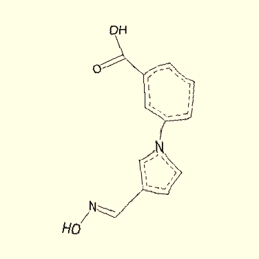 O=C(O)c1cccc(-n2ccc(C=NO)c2)c1